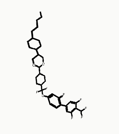 CCCCCC1CCC(C2COC(C3CCC(C(F)(F)Oc4ccc(-c5cc(F)c(C(F)F)c(F)c5)c(F)c4)CC3)OC2)CC1